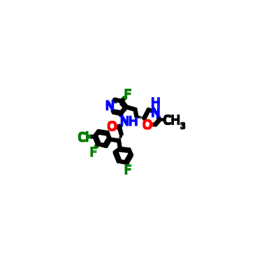 C[C@H]1CO[C@H](CCc2c(F)cncc2NC(=O)C[C@H](c2ccc(F)cc2)c2ccc(Cl)c(F)c2)CN1